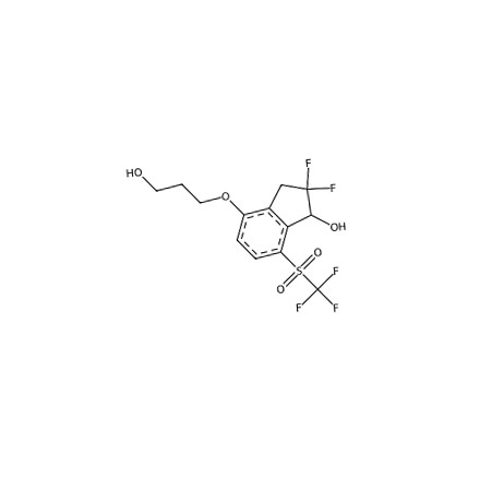 O=S(=O)(c1ccc(OCCCO)c2c1C(O)C(F)(F)C2)C(F)(F)F